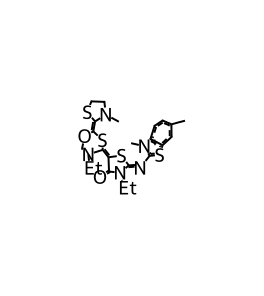 CCN1CO/C(=C2\SCCN2C)S/C1=C1\S/C(=N\c2sc3cc(C)ccc3[n+]2C)N(CC)C1=O